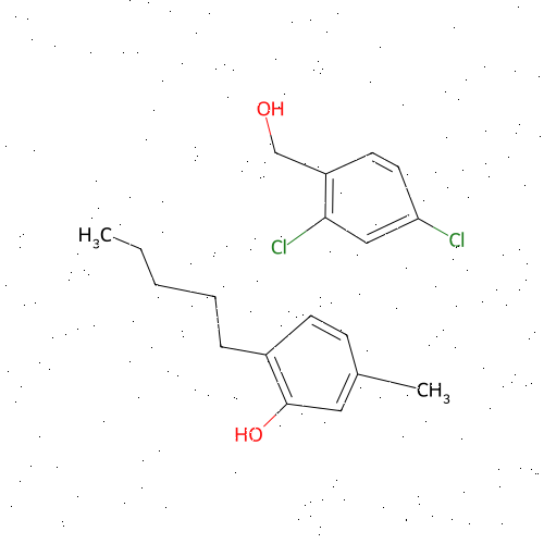 CCCCCc1ccc(C)cc1O.OCc1ccc(Cl)cc1Cl